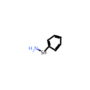 [NH2][Sn][c]1ccccc1